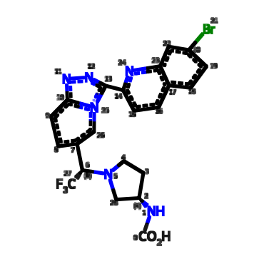 O=C(O)N[C@@H]1CCN([C@H](c2ccc3nnc(-c4ccc5ccc(Br)cc5n4)n3c2)C(F)(F)F)C1